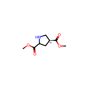 COC(=O)C1C[C@H](C(=O)OC)CN1